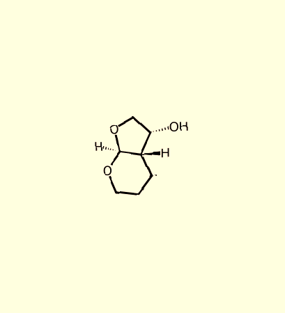 O[C@H]1CO[C@@H]2OCC[CH][C@H]21